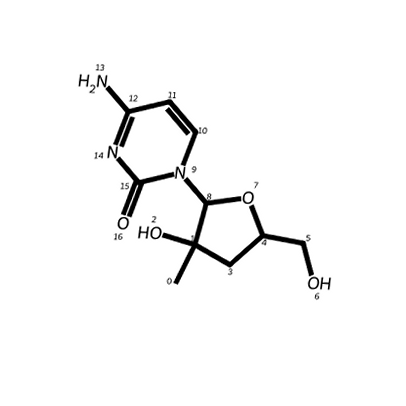 CC1(O)CC(CO)OC1n1ccc(N)nc1=O